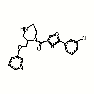 O=C(c1coc(-c2cccc(Cl)c2)n1)N1CCNCC1COc1cccnc1